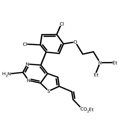 CCOC(=O)C=Cc1cc2c(-c3cc(OCCN(CC)CC)c(Cl)cc3Cl)nc(N)nc2s1